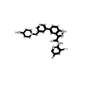 O=C(Nc1ncc(F)cc1F)c1n[nH]c2ccc(-c3cncc(CN4CCC(O)CC4)c3)cc12